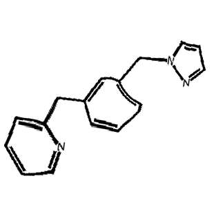 c1ccc(Cc2cccc(Cn3cccn3)c2)nc1